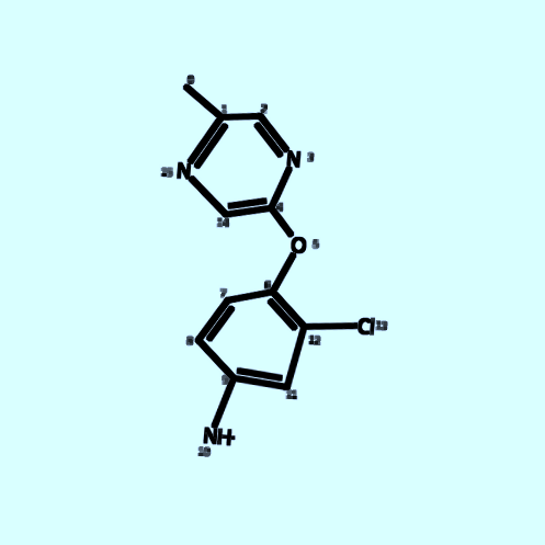 Cc1cnc(Oc2ccc([NH])cc2Cl)cn1